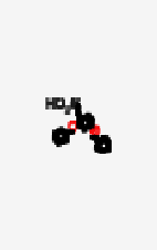 O=C(O)CCc1ccc(OCc2ccccc2)cc1OCc1ccccc1